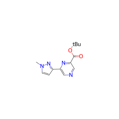 Cn1ccc(-c2cncc(C(=O)OC(C)(C)C)n2)n1